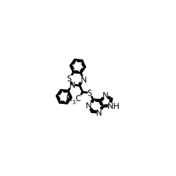 CC(Sc1ncnc2[nH]cnc12)C1=Nc2ccccc2SN1c1ccccc1